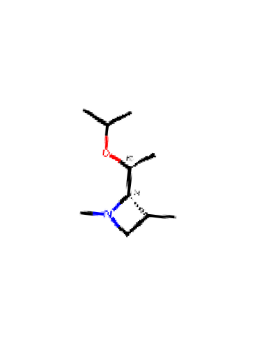 CC(C)O[C@@H](C)[C@@H]1C(C)CN1C